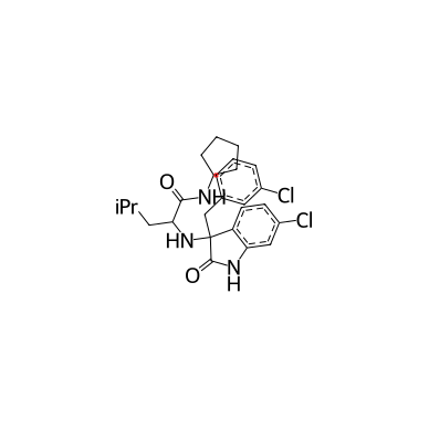 CC(C)CC(NC1(Cc2cccc(Cl)c2)C(=O)Nc2cc(Cl)ccc21)C(=O)NC1CCCC1